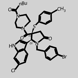 CCCCC(=O)N1CCN(C(=O)[C@]2(Sc3ccc(C)cc3)CC(=O)N(Cc3ccc(Br)cc3)[C@H]2c2c[nH]c3cc(Cl)ccc23)CC1